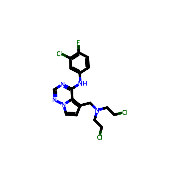 Fc1ccc(Nc2ncnn3ccc(CN(CCCl)CCCl)c23)cc1Cl